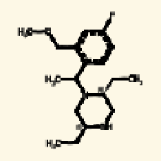 CC[C@H]1CN(C(C)c2ccc(F)cc2COC)[C@H](CC)CN1